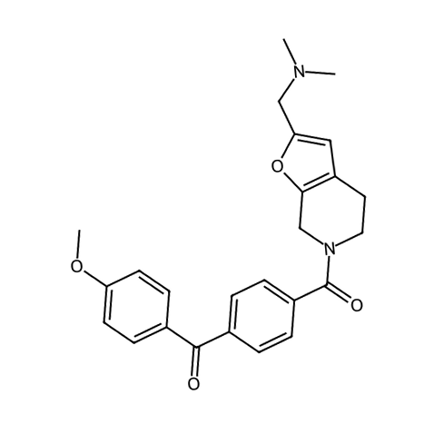 COc1ccc(C(=O)c2ccc(C(=O)N3CCc4cc(CN(C)C)oc4C3)cc2)cc1